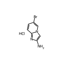 Cl.Nc1cn2cc(Br)ccc2n1